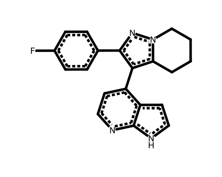 Fc1ccc(-c2nn3c(c2-c2ccnc4[nH]ccc24)CCCC3)cc1